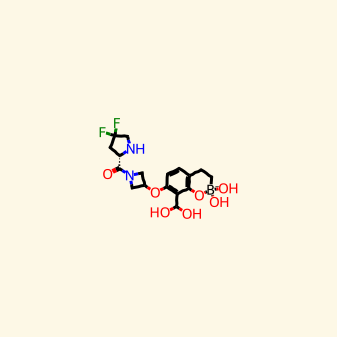 O=C([C@@H]1CC(F)(F)CN1)N1CC(Oc2ccc3c(c2C(O)O)O[B-](O)(O)CC3)C1